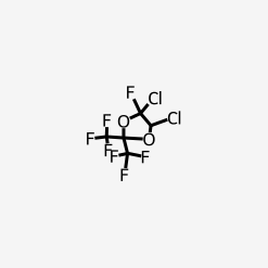 FC1(Cl)OC(C(F)(F)F)(C(F)(F)F)OC1Cl